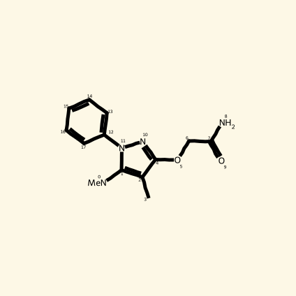 CNc1c(C)c(OCC(N)=O)nn1-c1ccccc1